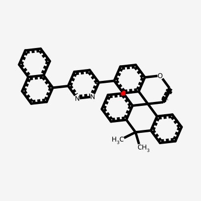 CC1(C)c2ccccc2C2(c3ccccc3Oc3ccc(-c4ccc(-c5cccc6ccccc56)nn4)cc32)c2ccccc21